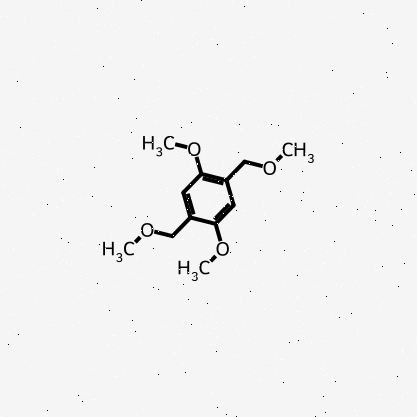 COCc1cc(OC)c(COC)cc1OC